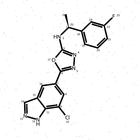 C[C@H](Nc1nnc(-c2cc(Cl)c3[nH]ncc3c2)o1)c1cccc(F)c1